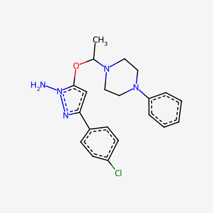 CC(Oc1cc(-c2ccc(Cl)cc2)nn1N)N1CCN(c2ccccc2)CC1